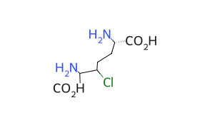 NC(C(=O)O)C(Cl)CC[C@H](N)C(=O)O